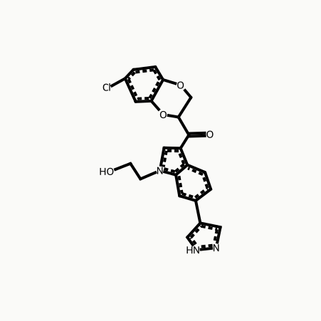 O=C(c1cn(CCO)c2cc(-c3cn[nH]c3)ccc12)C1COc2ccc(Cl)cc2O1